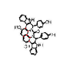 O=C(N1C(c2ccc(O)cc2)Cc2c([nH]c3ccccc23)C1c1ccc(O)cc1)N1C(c2ccc(O)cc2)Cc2c([nH]c3ccccc23)C1c1ccc(O)cc1